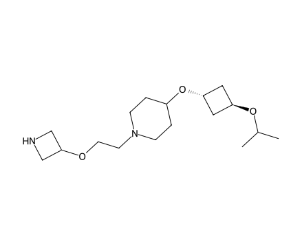 CC(C)O[C@H]1C[C@H](OC2CCN(CCOC3CNC3)CC2)C1